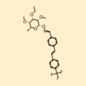 CCO[C@@H]1[C@H](OC)[C@H](ON=Cc2ccc(C=Cc3ccc(C(F)(F)F)cc3)cc2)O[C@@H](C)[C@@H]1OC